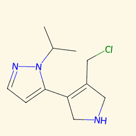 CC(C)n1nccc1C1=C(CCl)CNC1